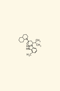 Cc1cccc2c1NNN2C(CC(=O)N1CCCC2CCCCC21)C(C)C